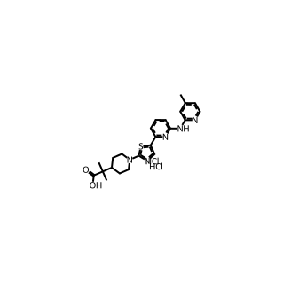 Cc1ccnc(Nc2cccc(-c3cnc(N4CCC(C(C)(C)C(=O)O)CC4)s3)n2)c1.Cl.Cl